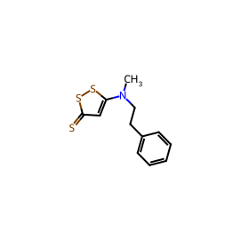 CN(CCc1ccccc1)c1cc(=S)ss1